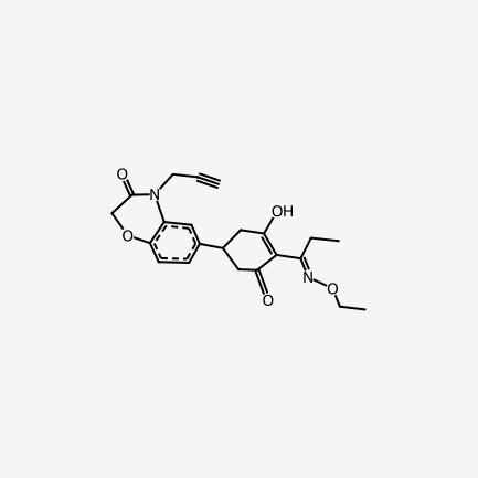 C#CCN1C(=O)COc2ccc(C3CC(=O)C(C(CC)=NOCC)=C(O)C3)cc21